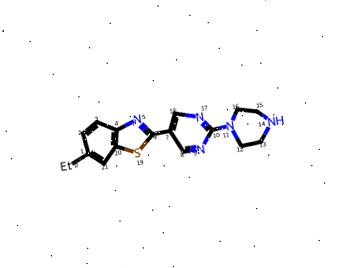 CCc1ccc2nc(-c3cnc(N4CCNCC4)nc3)sc2c1